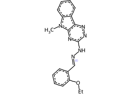 CCOc1ccccc1/C=N/Nc1nnc2c3ccccc3n(C)c2n1